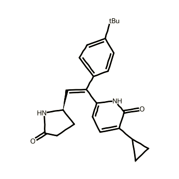 CC(C)(C)c1ccc(C(=C[C@H]2CCC(=O)N2)c2ccc(C3CC3)c(=O)[nH]2)cc1